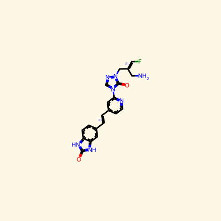 NC/C(=C\F)Cn1ncn(-c2cc(/C=C/c3ccc4[nH]c(=O)[nH]c4c3)ccn2)c1=O